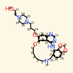 CN1CCCCCOc2cc3c(ncnc3cc2OCCCN2CCN(CCO)CC2)Nc2c(ccc3c2OCO3)C1